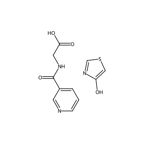 O=C(O)CNC(=O)c1cccnc1.Oc1cscn1